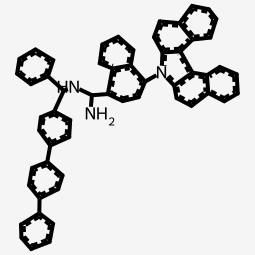 NC(NC(c1ccccc1)c1ccc(-c2ccc(-c3ccccc3)cc2)cc1)c1ccc(-n2c3ccc4ccccc4c3c3c4ccccc4ccc32)c2ccccc12